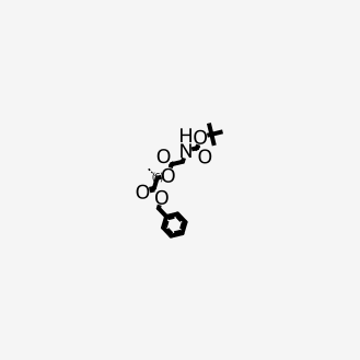 C[C@H](OC(=O)CNC(=O)OC(C)(C)C)C(=O)OCc1ccccc1